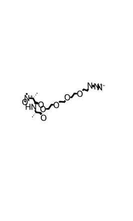 C[C@H](NC(=O)[C@@H](C)[N+](C)=O)C(=O)OCCOCCOCCOCCN=[N+]=[N-]